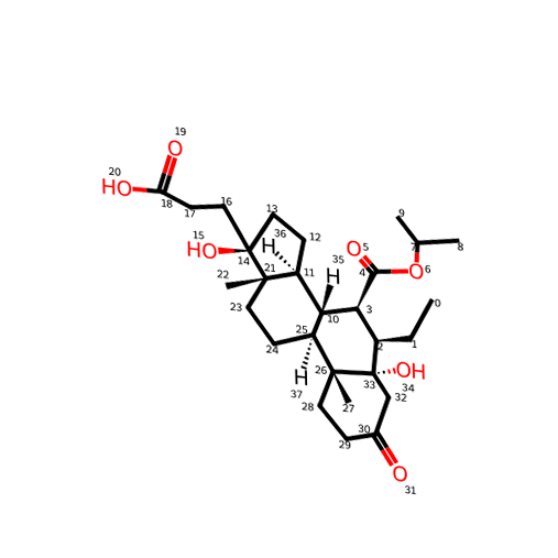 CC[C@@H]1[C@H](C(=O)OC(C)C)[C@H]2[C@@H]3CC[C@@](O)(CCC(=O)O)[C@@]3(C)CC[C@@H]2[C@@]2(C)CCC(=O)C[C@]12O